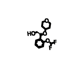 OC[C@H](OC1CCOCC1)c1ccccc1OC(F)F